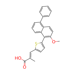 COc1ccc2c(-c3ccccc3)cccc2c1-c1ccc(/C=C(\C)C(=O)O)s1